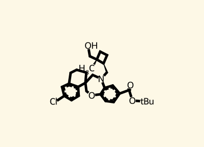 CC(C)(C)OC(=O)c1ccc2c(c1)N(C[C@@H]1CC[C@@]1(C)CO)CC1(CCCc3cc(Cl)ccc31)CO2